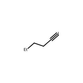 CCCCC#I